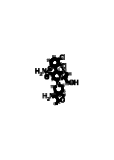 CC1OCC2(CCN(c3cc(S(N)(=O)=O)c(-c4cccc(Cl)c4Cl)c4ncc(CO)n34)CC2)C1N